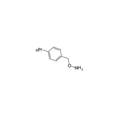 CCCc1ccc(CON)cc1